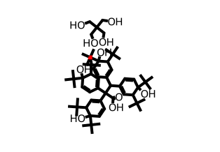 CC(C)(C)C1C=C(C(C2=CC(C(C)(C)C)C(O)(C(C)(C)C)C=C2)C(C(=O)O)(C2=CC(C(C)(C)C)C(O)(C(C)(C)C)C=C2)C2=CC(C(C)(C)C)C(O)(C(C)(C)C)C=C2)C=CC1(O)C(C)(C)C.OCC(CO)(CO)CO